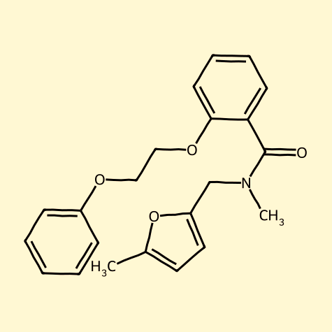 Cc1ccc(CN(C)C(=O)c2ccccc2OCCOc2ccccc2)o1